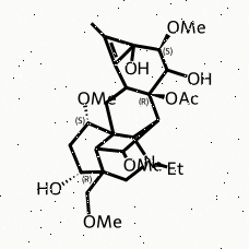 CCN1CC2(COC)C3C(OC)C4C1C3(CC1C3=C(C)C3(O)[C@@H](OC)C(O)[C@@]14OC(C)=O)[C@@H](OC)C[C@H]2O